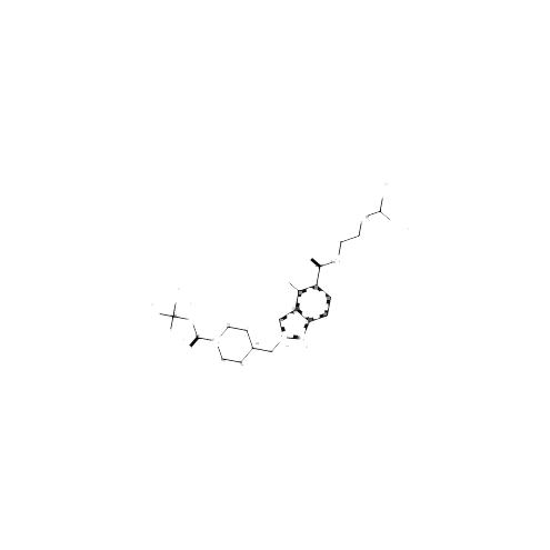 Cc1c(C(=O)NCCOC(C)C)ccc2nn(CC3CCN(C(=O)OC(C)(C)C)CC3)cc12